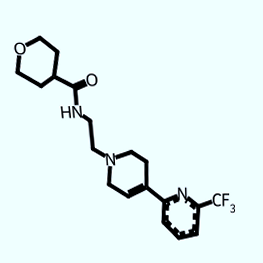 O=C(NCCN1CC=C(c2cccc(C(F)(F)F)n2)CC1)C1CCOCC1